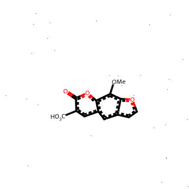 COc1c2occc2cc2cc(C(=O)O)c(=O)oc12